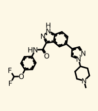 CN1CCC(n2cc(-c3ccc4[nH]nc(C(=O)Nc5ccc(OC(F)F)cc5)c4c3)cn2)CC1